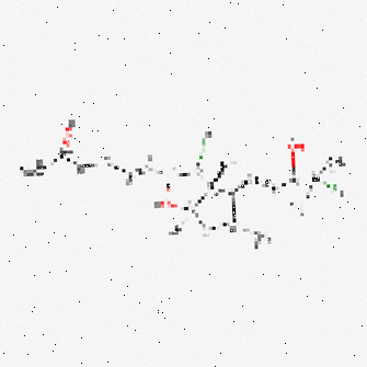 CCCCC(C)(F)[C@H](O)/C=C/[C@@H]1[C@H]2C(F)[C@@H](/C=C/CCC(=O)OC)O[C@@H]2C[C@H]1C